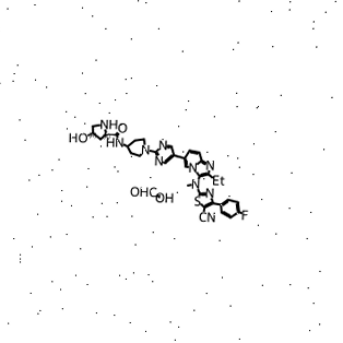 CCc1nc2ccc(-c3cnc(N4CCC(NC(=O)[C@H]5C[C@@H](O)CN5)CC4)nc3)cn2c1N(C)c1nc(-c2ccc(F)cc2)c(C#N)s1.O=CO